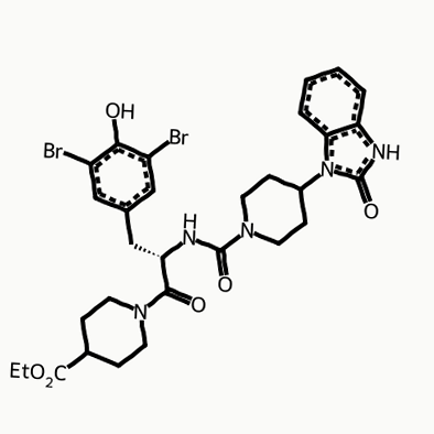 CCOC(=O)C1CCN(C(=O)[C@H](Cc2cc(Br)c(O)c(Br)c2)NC(=O)N2CCC(n3c(=O)[nH]c4ccccc43)CC2)CC1